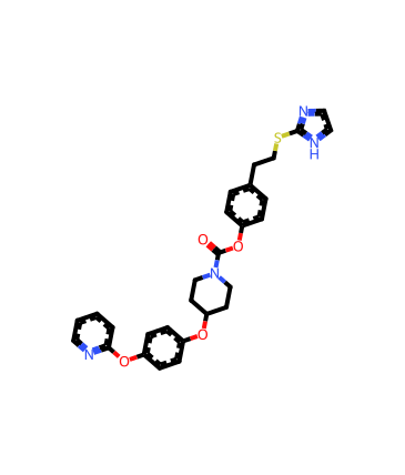 O=C(Oc1ccc(CCSc2ncc[nH]2)cc1)N1CCC(Oc2ccc(Oc3ccccn3)cc2)CC1